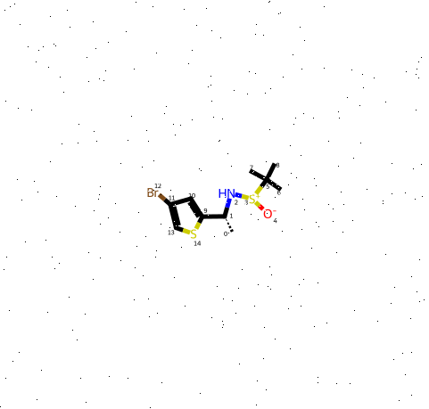 C[C@@H](N[S+]([O-])C(C)(C)C)c1cc(Br)cs1